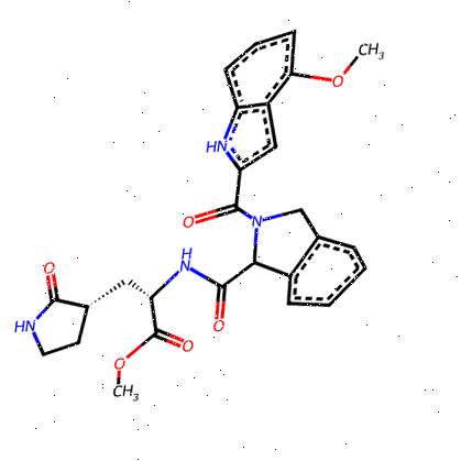 COC(=O)[C@H](C[C@@H]1CCNC1=O)NC(=O)C1c2ccccc2CN1C(=O)c1cc2c(OC)cccc2[nH]1